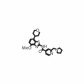 COc1ccc(C2CCOCC2)c2sc(NC(=O)c3ccnc(CN4CCCC4)c3)nc12